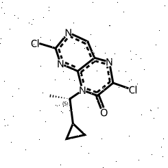 C[C@@H](C1CC1)n1c(=O)c(Cl)nc2cnc(Cl)nc21